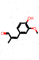 COc1cc(C=C(C)C=O)ccc1O